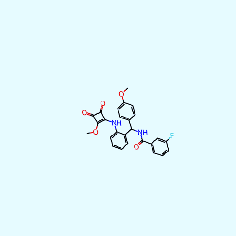 COc1ccc(C(NC(=O)c2cccc(F)c2)c2ccccc2Nc2c(OC)c(=O)c2=O)cc1